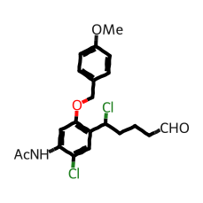 COc1ccc(COc2cc(NC(C)=O)c(Cl)cc2C(Cl)CCCC=O)cc1